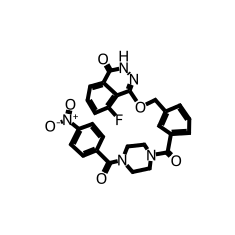 O=C(c1ccc([N+](=O)[O-])cc1)N1CCN(C(=O)c2cccc(COc3n[nH]c(=O)c4cccc(F)c34)c2)CC1